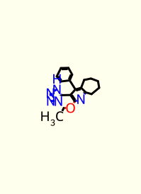 CCOc1nc2c(c(-c3ccccc3)c1-c1nnn[nH]1)CCCCC2